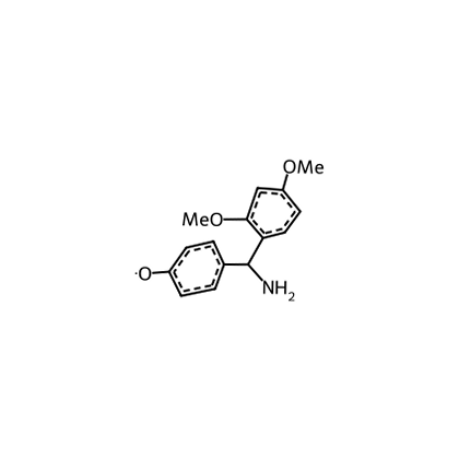 COc1ccc(C(N)c2ccc([O])cc2)c(OC)c1